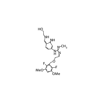 C/N=C(\N=C/COCc1c(F)c(OC)cc(OC)c1F)NC1=CC(=N)/C(=C\NCCO)C=C1